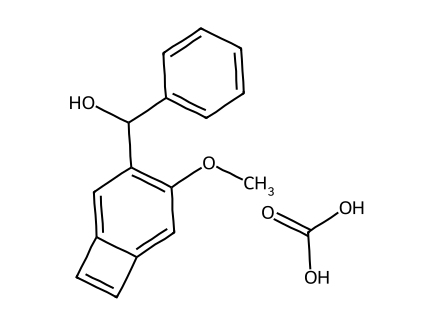 COc1cc2c(cc1C(O)c1ccccc1)C=C2.O=C(O)O